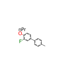 CCCOc1ccc(-c2ccc(C)cc2)cc1F